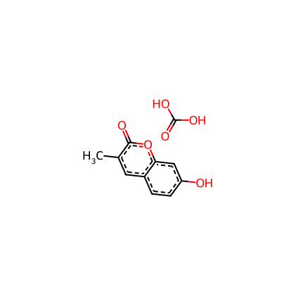 Cc1cc2ccc(O)cc2oc1=O.O=C(O)O